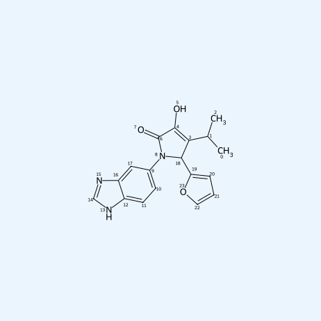 CC(C)C1=C(O)C(=O)N(c2ccc3[nH]cnc3c2)C1c1ccco1